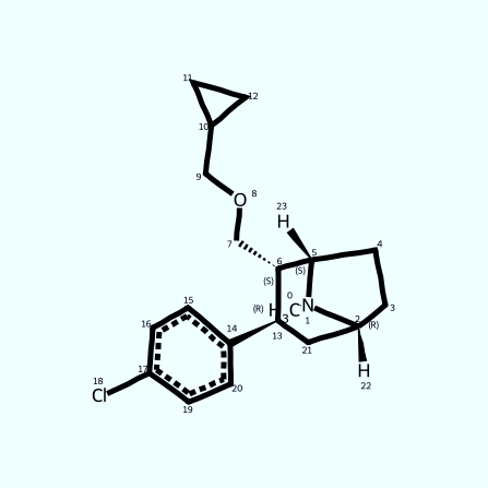 CN1[C@@H]2CC[C@H]1[C@@H](COCC1CC1)[C@H](c1ccc(Cl)cc1)C2